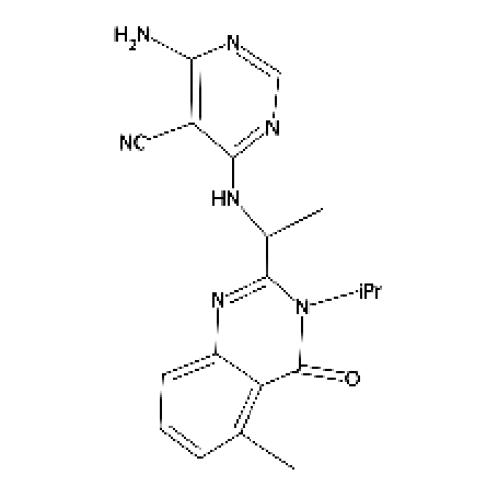 Cc1cccc2nc(C(C)Nc3ncnc(N)c3C#N)n(C(C)C)c(=O)c12